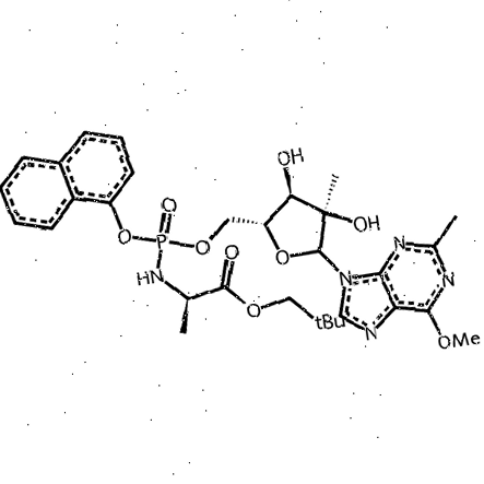 COc1nc(C)nc2c1ncn2C1O[C@H](COP(=O)(N[C@H](C)C(=O)OCC(C)(C)C)Oc2cccc3ccccc23)[C@@H](O)[C@@]1(C)O